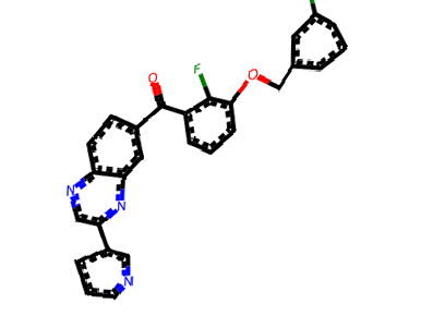 O=C(c1ccc2ncc(-c3cccnc3)nc2c1)c1cccc(OCc2cccc(F)c2)c1F